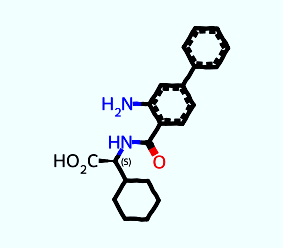 Nc1cc(-c2ccccc2)ccc1C(=O)N[C@H](C(=O)O)C1CCCCC1